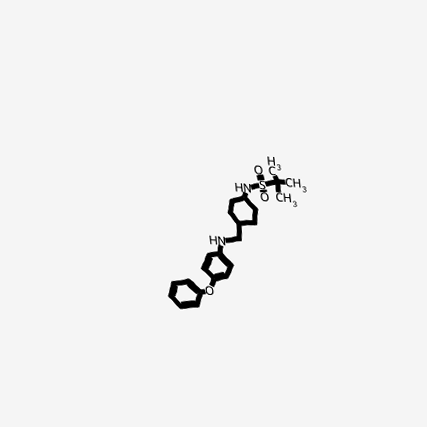 CC(C)(C)S(=O)(=O)NC1CCC(CNc2ccc(Oc3ccccc3)cc2)CC1